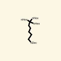 CCCCCCCCCCCCCCCC(CCCCCC)(CCCCCC)CCCCCC